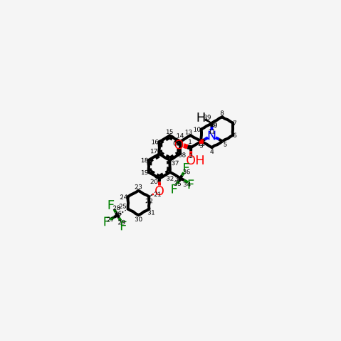 O=C(O)C1CC2CCC[C@@H](C1)N2CCc1ccc2ccc(O[C@H]3CC[C@@H](C(F)(F)F)CC3)c(C(F)(F)F)c2c1